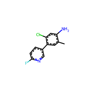 Cc1cc(-c2ccc(F)nc2)c(Cl)cc1N